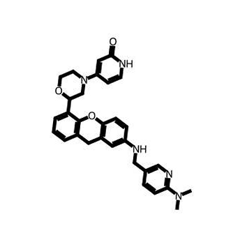 CN(C)c1ccc(CNc2ccc3c(c2)Cc2cccc(C4CN(c5cc[nH]c(=O)c5)CCO4)c2O3)cn1